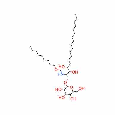 CCCCCCCCCCCCCC[C@@H](O)[C@@H](O)[C@H](COC1OC(CO)C(O)C(O)C1O)NCOCCCCCCCCC